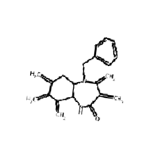 C=C1CC2C(NC(=O)C(=C)C(=C)N2Cc2ccccc2)C(=C)C1=C